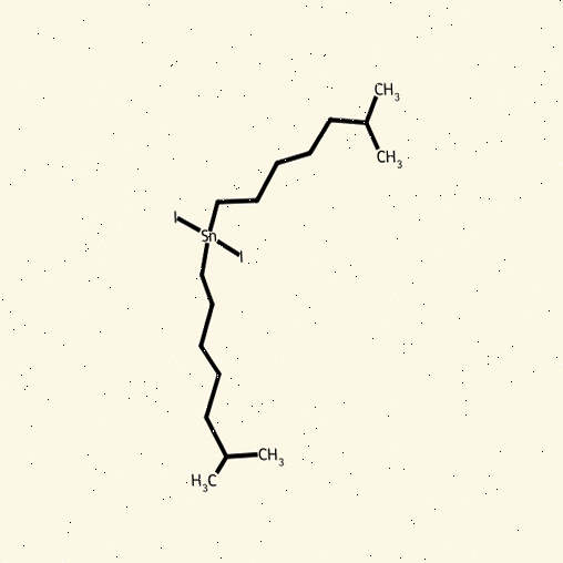 CC(C)CCCC[CH2][Sn]([I])([I])[CH2]CCCCC(C)C